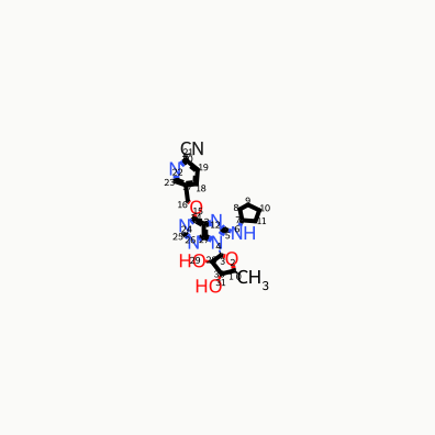 C[C@H]1O[C@@H](n2c(NC3CCCC3)nc3c(OCc4ccc(C#N)nc4)ncnc32)[C@H](O)[C@@H]1O